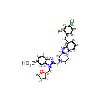 O=C(O)c1ccc2nc(CN3CCn4c(nc5c(Cc6ccc(Cl)cc6F)cccc54)C3)n(CC3CCCO3)c2c1